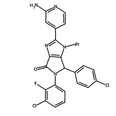 CC(C)n1c(-c2ccnc(N)c2)nc2c1C(c1ccc(Cl)cc1)N(c1cccc(Cl)c1F)C2=O